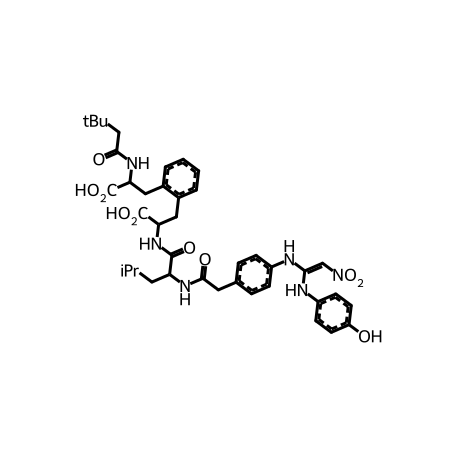 CC(C)CC(NC(=O)Cc1ccc(NC(=C[N+](=O)[O-])Nc2ccc(O)cc2)cc1)C(=O)NC(Cc1ccccc1CC(NC(=O)CC(C)(C)C)C(=O)O)C(=O)O